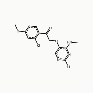 CNc1nc(Cl)ncc1OCC(=O)c1ccc(OC)cc1Cl